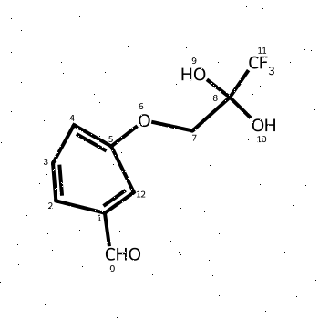 O=Cc1cccc(OCC(O)(O)C(F)(F)F)c1